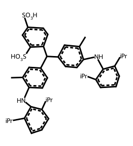 Cc1cc(C(c2ccc(Nc3c(C(C)C)cccc3C(C)C)c(C)c2)c2ccc(S(=O)(=O)O)cc2S(=O)(=O)O)ccc1Nc1c(C(C)C)cccc1C(C)C